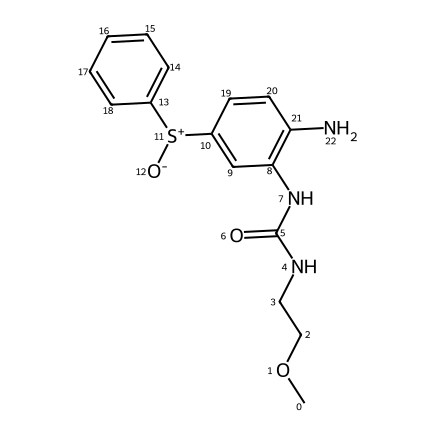 COCCNC(=O)Nc1cc([S+]([O-])c2ccccc2)ccc1N